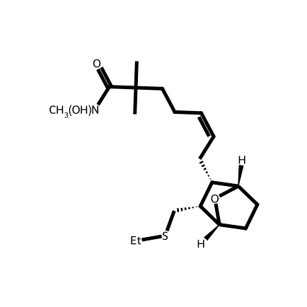 CCSC[C@@H]1[C@H](C/C=C\CCC(C)(C)C(=O)N(C)O)[C@@H]2CC[C@H]1O2